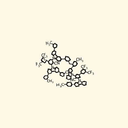 Cc1ccc(-c2ccc3c4ccccc4n(-c4cc(-c5cc(C(F)(F)F)cc(C(F)(F)F)c5)cc(-n5c6ccccc6c6ccc(-c7ccc(C)cc7Cc7cccc(-c8ccc9c(c8)c8cc(-c%10cccc(C)c%10)ccc8n9-c8cc(-c9cc(C(F)(F)F)cc(C(F)(F)F)c9)cc(-n9c%10ccc(-c%11cccc(C)c%11)cc%10c%10cc(-c%11cccc(C)c%11)ccc%109)c8C#N)c7)cc65)c4C#N)c3c2)cc1